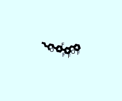 CCCC1CC=C(c2ccc(-c3cc4c(c(F)c3F)Oc3c(F)cccc3C4)c(F)c2)OC1